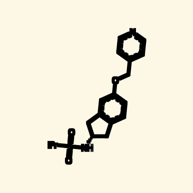 CC(C)S(=O)(=O)N[C@H]1Cc2ccc(OCc3ccncc3)cc2C1